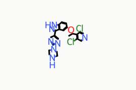 CC(Oc1ccc2[nH]nc(-c3cnc(N4CCNCC4)nc3)c2c1)c1c(Cl)cncc1Cl